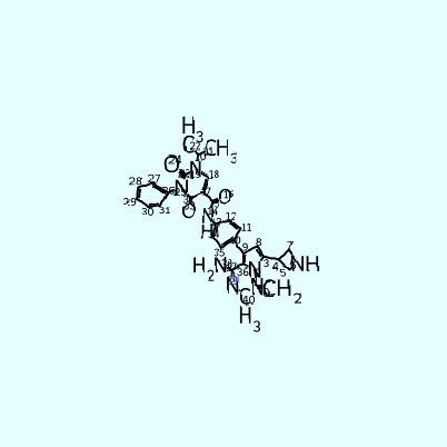 C=Nn1c(C2CNC2)cc(-c2ccc(NC(=O)c3cn(C(C)C)c(=O)n(-c4ccccc4)c3=O)cc2)c1/C(N)=N\C